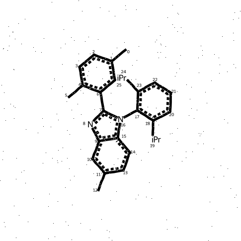 Cc1ccc(C)c(-c2nc3cc(C)ccc3n2-c2c(C(C)C)cccc2C(C)C)c1